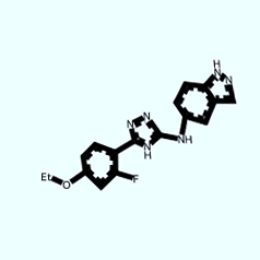 CCOc1ccc(-c2nnc(Nc3ccc4[nH]ncc4c3)[nH]2)c(F)c1